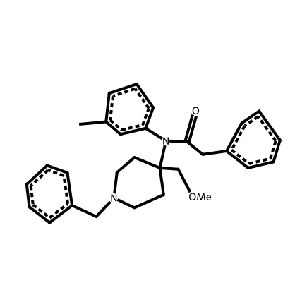 COCC1(N(C(=O)Cc2ccccc2)c2cccc(C)c2)CCN(Cc2ccccc2)CC1